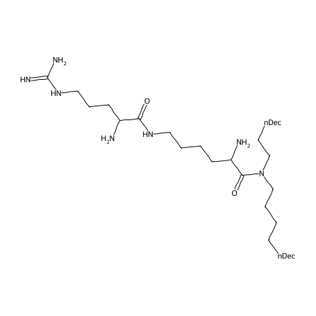 CCCCCCCCCCCCCCN(CCCCCCCCCCCC)C(=O)C(N)CCCCNC(=O)C(N)CCCNC(=N)N